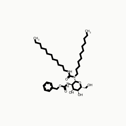 CCCCCCCCCCCCNC(=O)N(CCCCCCCCCCCC)[C@@H]1O[C@H](CO)[C@H](O)[C@H](O)[C@H]1NC(=O)OCc1ccccc1